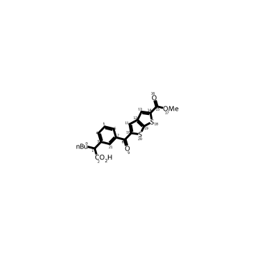 CCCCC(C(=O)O)c1cccc(C(=O)c2cc3cc(C(=O)OC)sc3s2)c1